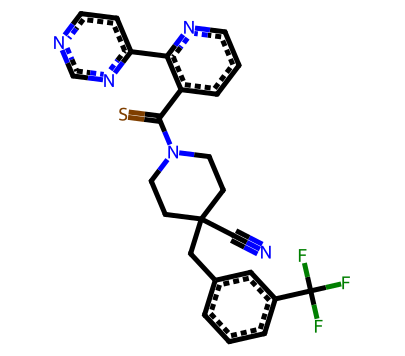 N#CC1(Cc2cccc(C(F)(F)F)c2)CCN(C(=S)c2cccnc2-c2ccncn2)CC1